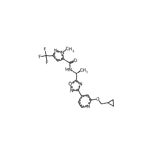 C[C@H](NC(=O)c1cc(C(F)(F)F)nn1C)c1nc(-c2ccnc(OCC3CC3)c2)no1